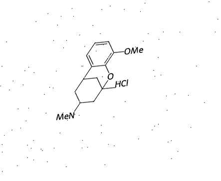 CNC1CC2CC(C)(C1)Oc1c(OC)cccc12.Cl